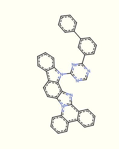 c1ccc(-c2cccc(-c3ncnc(-n4c5ccccc5c5ccc6c(nc7c8ccccc8c8ccccc8n67)c54)n3)c2)cc1